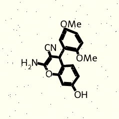 COc1ccc(OC)c(C2C(C#N)=C(N)Oc3cc(O)ccc32)c1